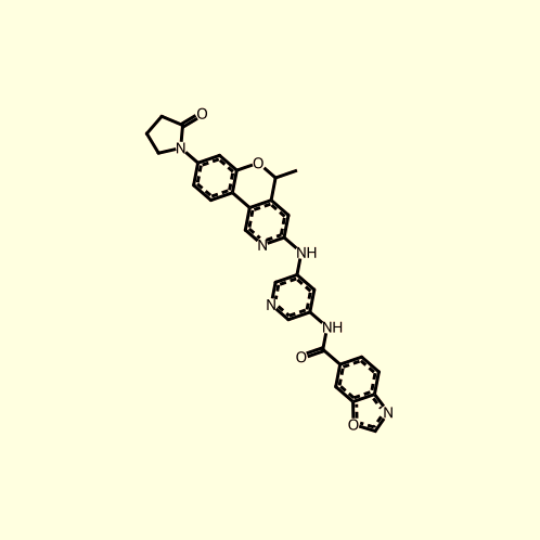 CC1Oc2cc(N3CCCC3=O)ccc2-c2cnc(Nc3cncc(NC(=O)c4ccc5ncoc5c4)c3)cc21